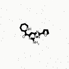 Nc1nc(C(=O)C2CCCCCN2)cc2nc(-c3ccco3)nn12